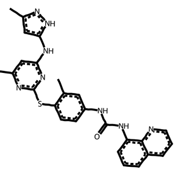 Cc1cc(Nc2cc(C)nc(Sc3ccc(NC(=O)Nc4cccc5cccnc45)cc3C)n2)[nH]n1